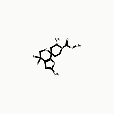 Cc1cc2c(s1)C1(CCN(C(=O)OC(C)(C)C)[C@@H](C)C1)OCC2(F)F